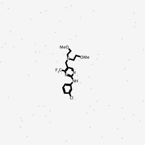 COCCN(CCOC)Cc1cnc(Nc2cccc(Cl)c2)nc1C(F)(F)F